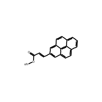 CCCOC(=O)C=Cc1cc2ccc3cccc4ccc(c1)c2c34